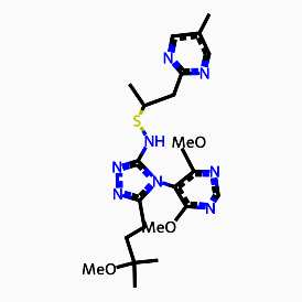 COc1ncnc(OC)c1-n1c(CCC(C)(C)OC)nnc1NSC(C)Cc1ncc(C)cn1